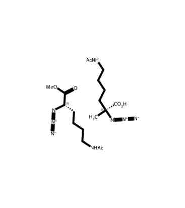 CC(=O)NCCCC[C@](C)(N=[N+]=[N-])C(=O)O.COC(=O)[C@H](CCCCNC(C)=O)N=[N+]=[N-]